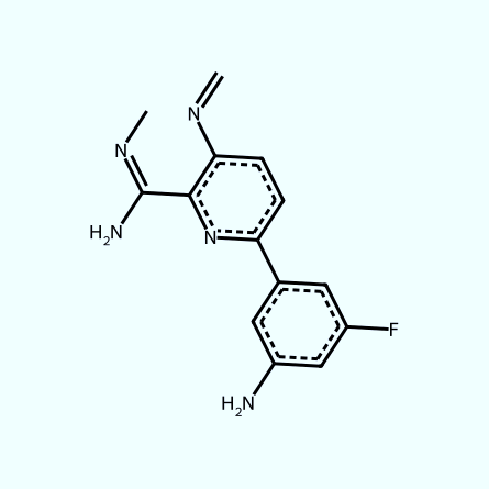 C=Nc1ccc(-c2cc(N)cc(F)c2)nc1/C(N)=N\C